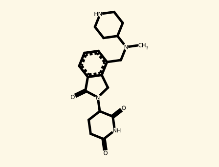 CN(Cc1cccc2c1CN(C1CCC(=O)NC1=O)C2=O)C1CCNCC1